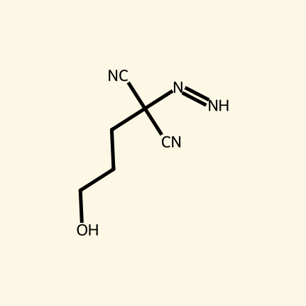 N#CC(C#N)(CCCO)N=N